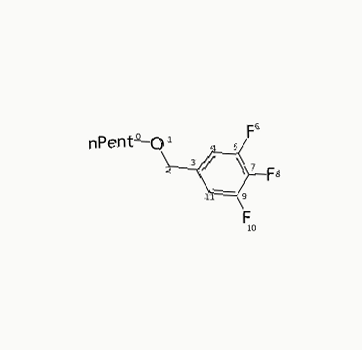 [CH2]CCCCOCc1cc(F)c(F)c(F)c1